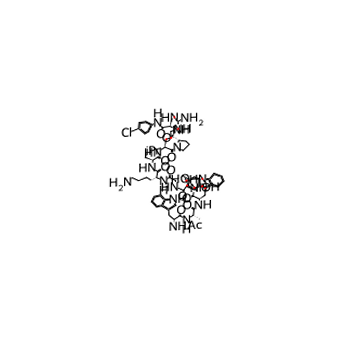 CC(=O)N[C@H](Cc1c[nH]c2ccccc12)C(=O)N[C@@H](C)C(=O)N[C@H](Cc1c[nH]c2ccccc12)C(=O)N[C@@H](CO)C(=O)N[C@@H](Cc1ccc(O)cc1)C(=O)N[C@H](CCCCN)C(=O)N[C@@H](CC(C)C)C(=O)N[C@@H](CCCNC(=N)N)C(=O)N1CCC[C@H]1C(=O)N[C@H](C)C(=O)Nc1ccc(Cl)cc1